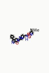 CNc1ccnc(OC(=O)NCc2ccc3nc(Cn4ccc5c(-c6ccccc6)cncc5c4=O)cn3c2)c1